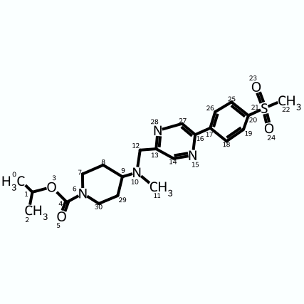 CC(C)OC(=O)N1CCC(N(C)Cc2cnc(-c3ccc(S(C)(=O)=O)cc3)cn2)CC1